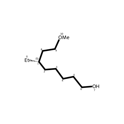 CC[C@@H](CCCCCO)CCOC